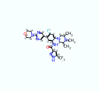 CC1CN(c2cc(F)c(-c3cnc(N4CCOCC4)nc3)cc2NC(=O)c2cc(C(F)(F)F)[nH]n2)CC(C)N1C